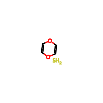 C1=COC=CO1.S